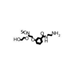 NCCNC(=O)c1cccc(OCC(N=C=S)OCCO)c1